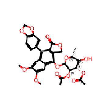 COc1cc2c(OC3O[C@H](C)[C@@H](O)[C@H](OC(C)=O)[C@H]3OC(C)=O)c3c(c(-c4ccc5c(c4)OCO5)c2cc1OC)C(=O)OC3